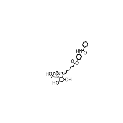 CCCCCC(C)(O)CS[C@H]1C(O)CC(O)[C@@H]1CC=CCCCC(=O)Oc1ccc(NC(=O)c2ccccc2)cc1